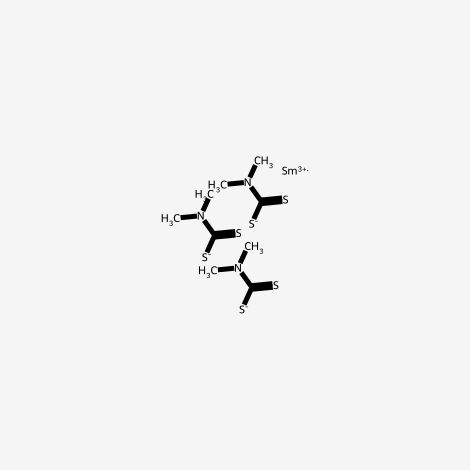 CN(C)C(=S)[S-].CN(C)C(=S)[S-].CN(C)C(=S)[S-].[Sm+3]